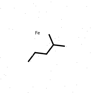 CCCC(C)C.[Fe]